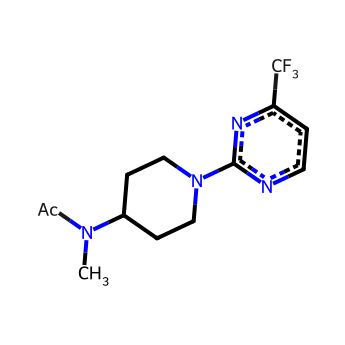 CC(=O)N(C)C1CCN(c2nccc(C(F)(F)F)n2)CC1